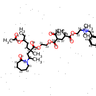 CCC(CCC(C)(CC(C)N1CCCCCC1=O)C(=O)OCCOC(=O)C(CC(C)C(=O)OCC[N+](C)(C)Cc1ccccc1)C(C)=O)OC(C)=O